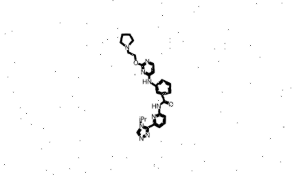 CC(C)n1cnnc1-c1cccc(NC(=O)c2cccc(Nc3ccnc(OCCN4CCCC4)n3)c2)n1